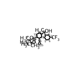 CC(O)(c1cccc(C(F)(F)F)c1)c1ccc(B2OC(C)(C)C(C)(C)O2)c(C2CC2)c1